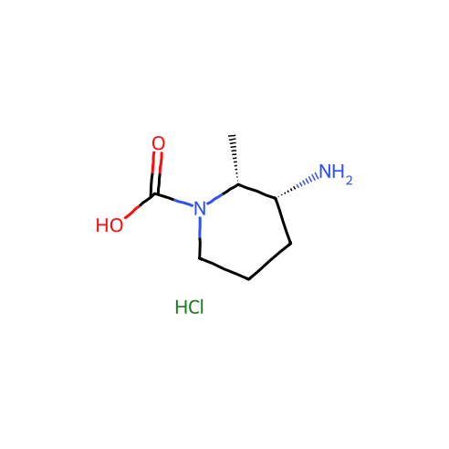 C[C@@H]1[C@H](N)CCCN1C(=O)O.Cl